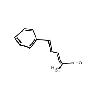 C/C(C=O)=C\C=C\c1ccccc1